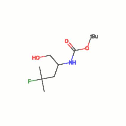 CC(C)(F)CC(CO)NC(=O)OC(C)(C)C